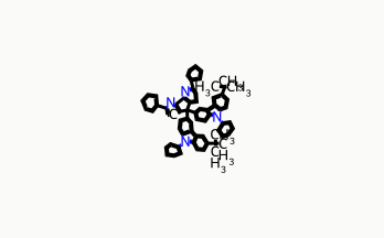 CC(C)(C)c1ccc2c(c1)c1cc(C3(c4ccc5c(c4)c4cc(C(C)(C)C)ccc4n5-c4ccccc4)c4ccc(-c5ccccc5)nc4-c4nc(-c5ccccc5)ccc43)ccc1n2-c1ccccc1